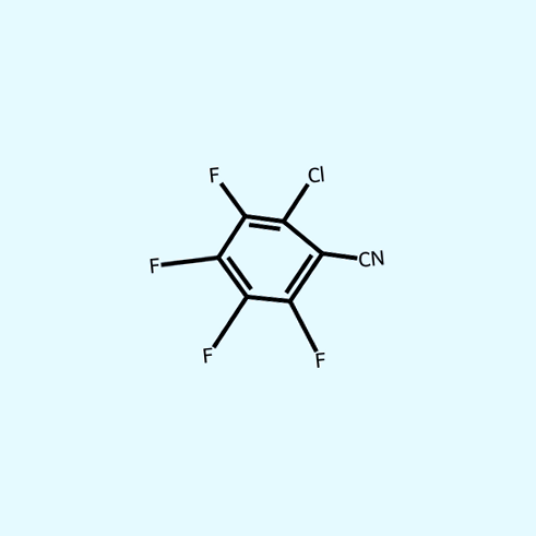 N#Cc1c(F)c(F)c(F)c(F)c1Cl